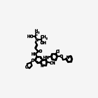 CC(O)N(C/C=C/C(=O)Nc1cc2c(Nc3ccc(OCc4ccccn4)c(Cl)c3)c(C#N)cnc2cc1OC1CCOC1)C(C)O